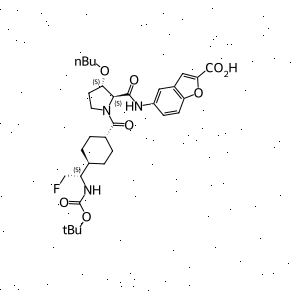 CCCCO[C@H]1CCN(C(=O)[C@H]2CC[C@H]([C@@H](CF)NC(=O)OC(C)(C)C)CC2)[C@@H]1C(=O)Nc1ccc2oc(C(=O)O)cc2c1